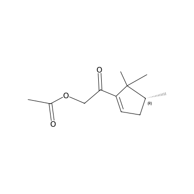 CC(=O)OCC(=O)C1=CC[C@@H](C)C1(C)C